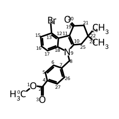 COC(=O)c1ccc(Cn2c3c(c4c(Br)cccc42)C(=O)CC(C)(C)C3)cc1